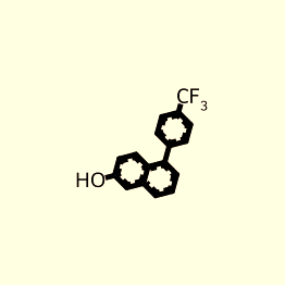 Oc1ccc2c(-c3ccc(C(F)(F)F)cc3)cccc2c1